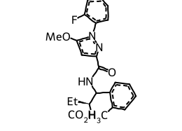 CC[C@H](C(=O)O)C(NC(=O)c1cc(OC)n(-c2ccccc2F)n1)c1ccccc1C